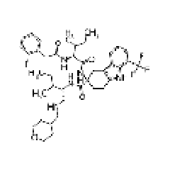 CCC(C)[C@H](NC(=O)Cc1ccccc1F)C(=O)N[C@]1(C(=O)N[C@H](CNCC2CCOCC2)C(C)CC)CCc2[nH]c3c(C(F)(F)F)cccc3c2C1